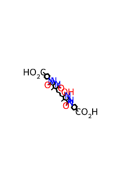 Cc1c(C=CC=c2c(C)c3c(n(C)c2=O)=NN(c2ccc(C(=O)O)cc2)C3=O)c(O)n(C)c2nn(-c3ccc(C(=O)O)cc3)c(=O)c1-2